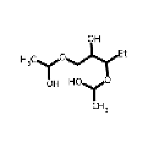 CCC(OC(C)O)[C](O)COC(C)O